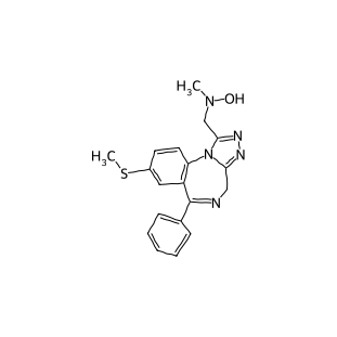 CSc1ccc2c(c1)C(c1ccccc1)=NCc1nnc(CN(C)O)n1-2